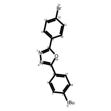 CC(C)(C)c1ccc(-c2nnc(-c3ccc(Br)cc3)o2)cc1